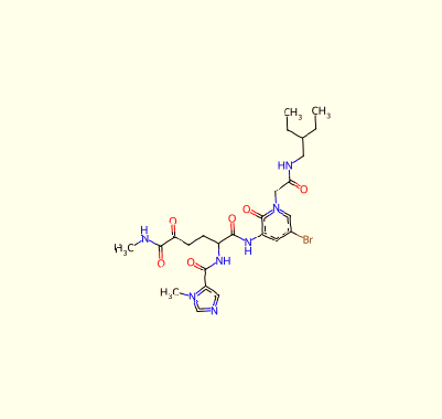 CCC(CC)CNC(=O)Cn1cc(Br)cc(NC(=O)C(CCC(=O)C(=O)NC)NC(=O)c2cncn2C)c1=O